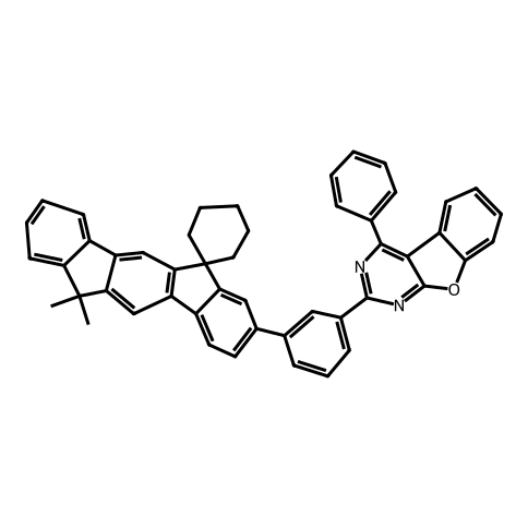 CC1(C)c2ccccc2-c2cc3c(cc21)-c1ccc(-c2cccc(-c4nc(-c5ccccc5)c5c(n4)oc4ccccc45)c2)cc1C31CCCCC1